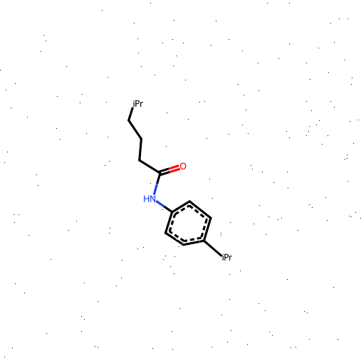 CC(C)CCCC(=O)Nc1ccc(C(C)C)cc1